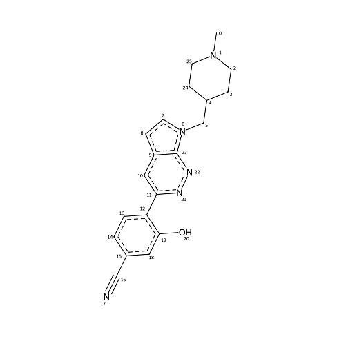 CN1CCC(Cn2ccc3cc(-c4ccc(C#N)cc4O)nnc32)CC1